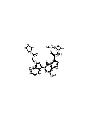 CNc1cc(-c2cn(CC(=O)N3CCCC3)c3ncccc23)nc2c(C(=O)N[C@H]3CC[C@@H]3OC)cnn12